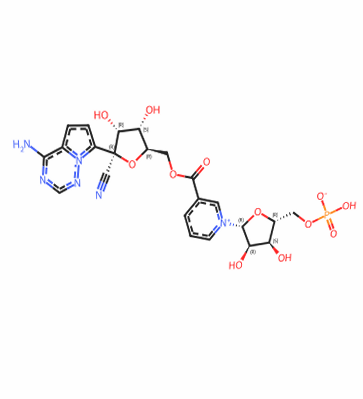 N#C[C@@]1(c2ccc3c(N)ncnn23)O[C@H](COC(=O)c2ccc[n+]([C@@H]3O[C@H](COP(=O)([O-])O)[C@@H](O)[C@H]3O)c2)[C@@H](O)[C@H]1O